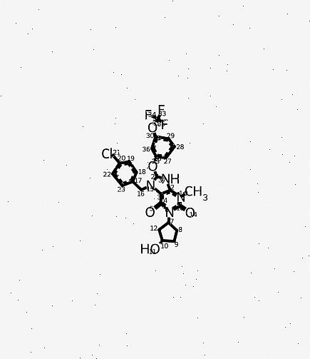 Cn1c2c(c(=O)n(C3CCC(O)C3)c1=O)N(Cc1ccc(Cl)cc1)C(Oc1cccc(OC(F)(F)F)c1)N2